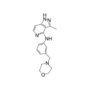 Cc1n[nH]c2ccnc(Nc3cccc(CN4CCOCC4)c3)c12